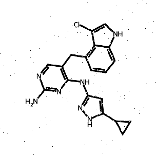 Nc1ncc(Cc2cccc3[nH]cc(Cl)c23)c(Nc2cc(C3CC3)[nH]n2)n1